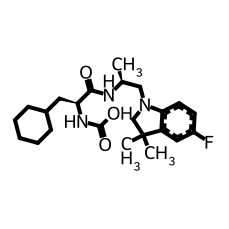 C[C@@H](CN1CC(C)(C)c2cc(F)ccc21)NC(=O)[C@H](CC1CCCCC1)NC(=O)O